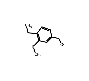 CCc1ccc(C[O])cc1SC